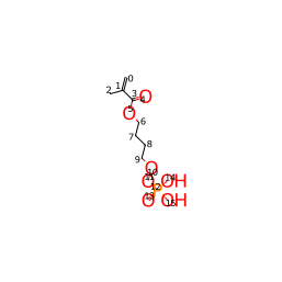 C=C(C)C(=O)OCCCCOOP(=O)(O)O